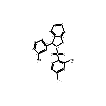 Cc1ccc(S(=O)(=O)N2Cc3ccccc3C2c2cccc(O)c2)c(O)c1